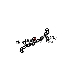 CC(C)(C)c1cc(N(c2ccc3c(ccc4ccccc43)c2)c2ccc3c(c2)oc2c4c(ccc23)-c2cc3sc5cc(N(c6cc(C(C)(C)C)cc(C(C)(C)C)c6)c6ccc7c(ccc8ccccc87)c6)ccc5c3cc2C42C3CC4CC(C3)CC2C4)cc(C(C)(C)C)c1